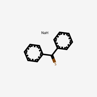 S=C(c1ccccc1)c1ccccc1.[NaH]